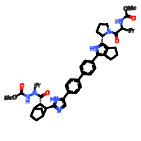 COC(=O)NC(C(=O)N1CCC[C@H]1c1[nH]c(-c2ccc(-c3ccc(-c4cnc([C@H]5C6CCC(C6)[C@@H]5C(=O)N(NC(=O)OC)C(C)C)[nH]4)cc3)cc2)c2c1CCC2)C(C)C